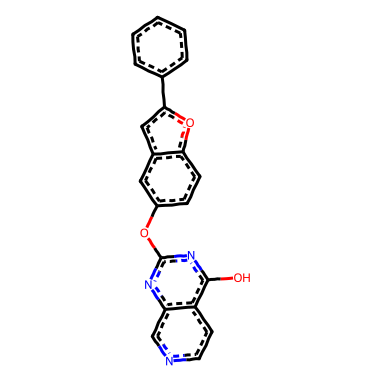 Oc1nc(Oc2ccc3oc(-c4ccccc4)cc3c2)nc2cnccc12